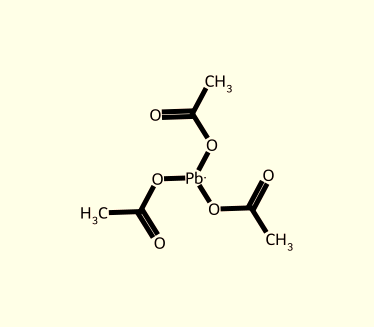 CC(=O)[O][Pb]([O]C(C)=O)[O]C(C)=O